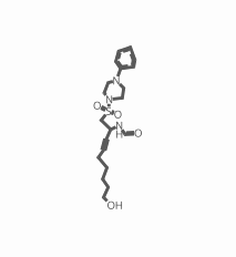 O=CNC(C#CCCCCCO)CS(=O)(=O)N1CCN(c2ccccc2)CC1